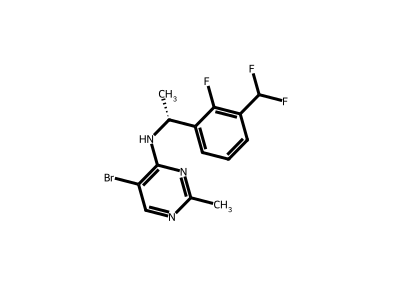 Cc1ncc(Br)c(N[C@H](C)c2cccc(C(F)F)c2F)n1